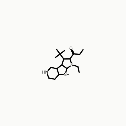 CCC(=O)C1C(C(C)(C)C)C2C3CNCCC3NC2N1CC